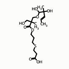 CC=CC(C)(O)C(O)OCC(C)(CO)C(=O)OCCCSCCC(=O)O